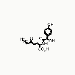 [N-]=[N+]=CC(=O)CCC(NC(=O)C(O)c1ccc(O)cc1)C(=O)O